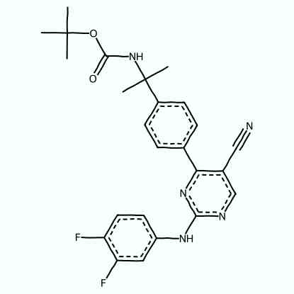 CC(C)(C)OC(=O)NC(C)(C)c1ccc(-c2nc(Nc3ccc(F)c(F)c3)ncc2C#N)cc1